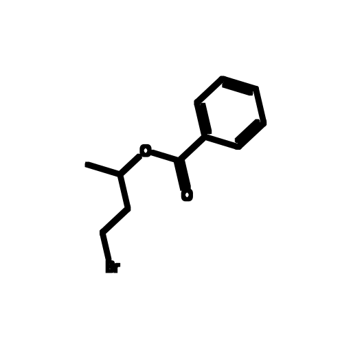 CC(CCBr)OC(=O)c1ccccc1